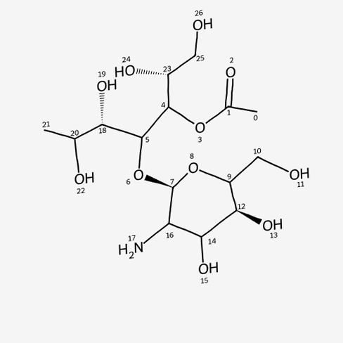 CC(=O)OC(C(O[C@H]1OC(CO)[C@@H](O)C(O)C1N)[C@@H](O)C(C)O)[C@H](O)CO